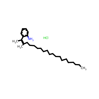 CCCCCCCCCCCCCCCCCCC(C)=C(C)c1ccccc1N.Cl